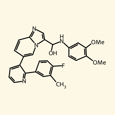 COc1ccc(NC(O)c2cnc3ccc(-c4cccnc4-c4ccc(F)c(C)c4)cn23)cc1OC